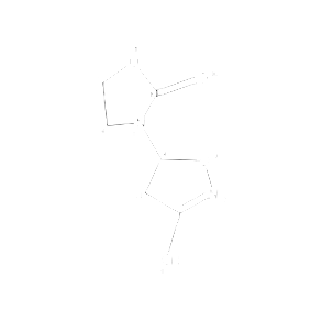 CC1=NOC(N2CCOC2=O)C1